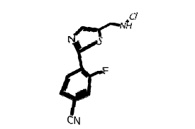 N#Cc1ccc(-c2ncc(CNCl)s2)c(F)c1